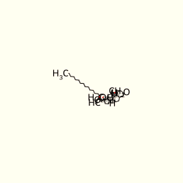 C#C[C@]1(OC(=O)CCCCCCCCCCCCCC)CC[C@H]2[C@@H]3CCC4=CC(=O)CC[C@@H]4[C@H]3C(=C)C[C@@]21CC